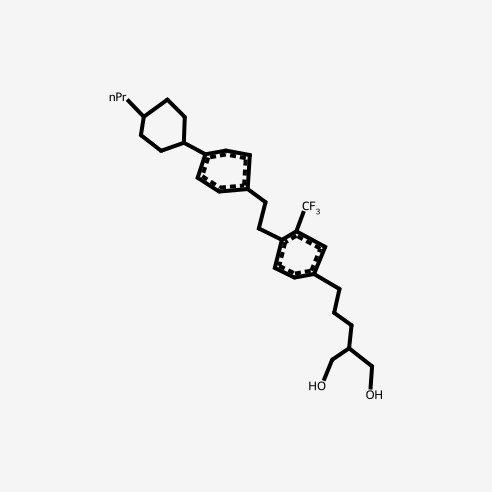 CCCC1CCC(c2ccc(CCc3ccc(CCCC(CO)CO)cc3C(F)(F)F)cc2)CC1